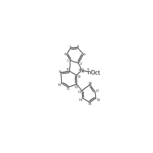 CCCCCCCCn1c2ccccc2c2cccc(-c3ccccc3)c21